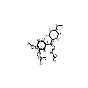 CCC1CCC(C(OCOC)c2ccc(OC)c(OC(C)C)c2)CC1